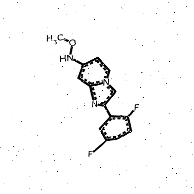 CONc1ccn2cc(-c3cc(F)ccc3F)nc2c1